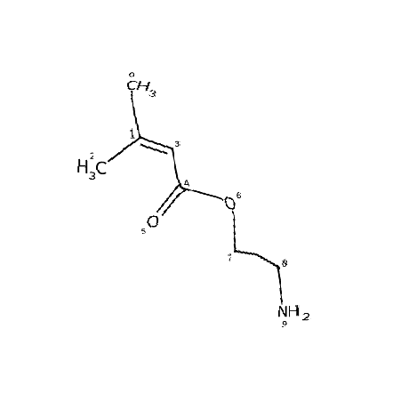 CC(C)=CC(=O)OCCN